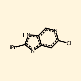 CC(C)c1nc2cc(Cl)ncc2[nH]1